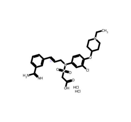 CCN1CCC(Oc2ccc(N(C/C=C/c3cccc(C(=N)N)c3)S(=O)(=O)CC(=O)O)cc2Cl)CC1.Cl.Cl